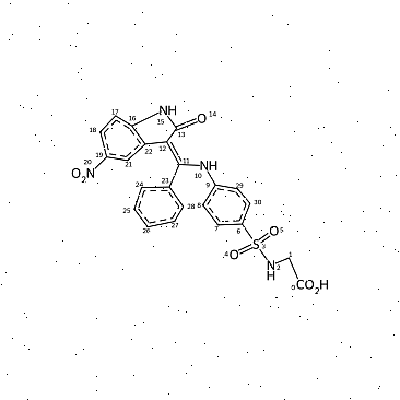 O=C(O)CNS(=O)(=O)c1ccc(N/C(=C2\C(=O)Nc3ccc([N+](=O)[O-])cc32)c2ccccc2)cc1